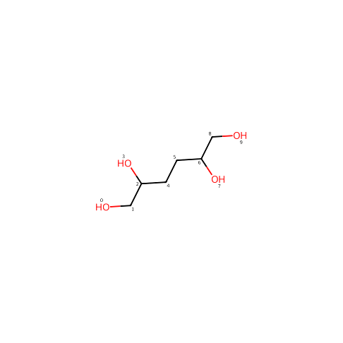 OCC(O)CCC(O)CO